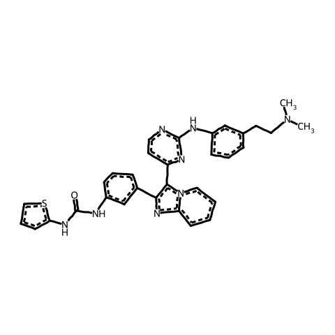 CN(C)CCc1cccc(Nc2nccc(-c3c(-c4cccc(NC(=O)Nc5cccs5)c4)nc4ccccn34)n2)c1